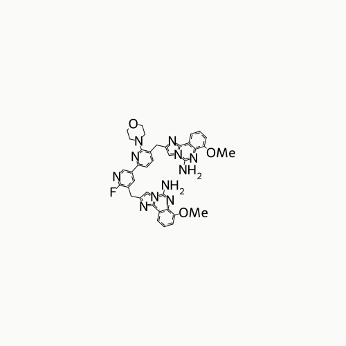 COc1cccc2c1nc(N)n1cc(Cc3cc(-c4ccc(Cc5cn6c(N)nc7c(OC)cccc7c6n5)c(N5CCOCC5)n4)cnc3F)nc21